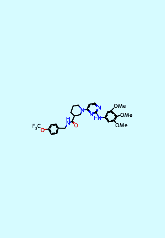 COc1cc(Nc2nccc(N3CCCC(C(=O)NCc4ccc(OC(F)(F)F)cc4)C3)n2)cc(OC)c1OC